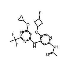 CC(=O)Nc1cc(Nc2cc(OC3CC3)nc(C(C)(F)F)n2)c(OC2CC(F)C2)cn1